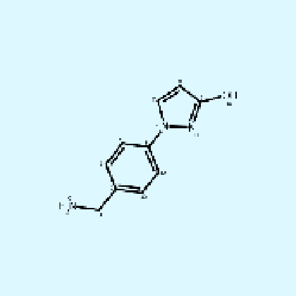 NCc1ccc(-n2ccc(O)n2)cc1